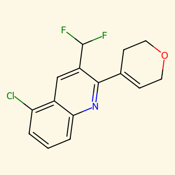 FC(F)c1cc2c(Cl)cccc2nc1C1=CCOCC1